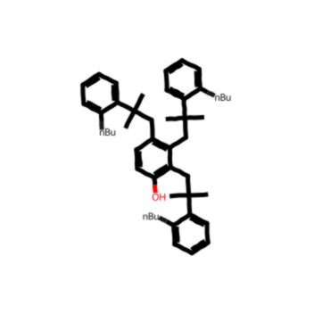 CCCCc1ccccc1C(C)(C)Cc1ccc(O)c(CC(C)(C)c2ccccc2CCCC)c1CC(C)(C)c1ccccc1CCCC